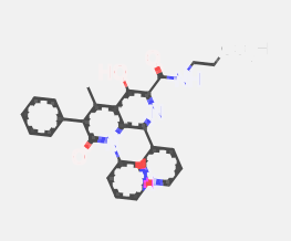 Cc1c(-c2ccccc2)c(=O)n(-c2ccccc2)c2c(-c3cccnc3)nc(C(=O)NCCC(=O)O)c(O)c12